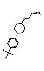 C=CCO[C@H]1CC[C@H](c2ccc(C(F)(F)F)cc2)CC1